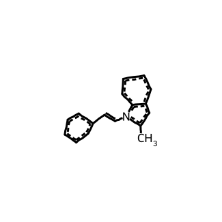 Cc1cc2ccccc2n1C=Cc1ccccc1